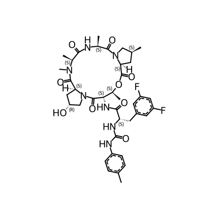 Cc1ccc(NC(=O)N[C@@H](Cc2cc(F)cc(F)c2)C(=O)N[C@@H]2C(=O)N3C[C@H](O)C[C@H]3C(=O)N(C)[C@@H](C)C(=O)N[C@@H](C)C(=O)N3C[C@@H](C)C[C@H]3C(=O)O[C@H]2C)cc1